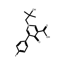 CC(C)(O)Cn1cc(C(=O)O)c(=O)c(-c2ccc(F)cc2)c1